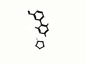 Cc1cc(O[C@@H]2CCC[C@H]2O)cc(C)c1-c1cccc(C=O)c1